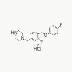 Cl.Cl.Fc1ccc(OCc2ccc(CN3CCNCC3)cc2F)cc1